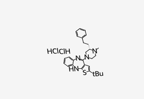 CN1CCN(C2=Nc3ccccc3Nc3sc(C(C)(C)C)cc32)C[C@@H]1CCc1ccccc1.Cl.Cl